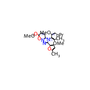 CCC/C=C(OC)\C(=C(/C)OC)n1c(/C=C\C(=O)OOC)nnc1-c1ccc(C)o1